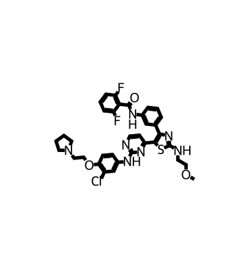 COCCNc1nc(-c2cccc(NC(=O)c3c(F)cccc3F)c2)c(-c2ccnc(Nc3ccc(OCCN4CCCC4)c(Cl)c3)n2)s1